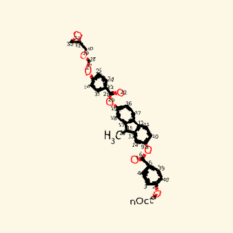 CCCCCCCCOc1ccc(C(=O)Oc2ccc3c(c2)C(C)c2cc(OC(=O)c4ccc(OCOCC5CO5)cc4)ccc2-3)cc1